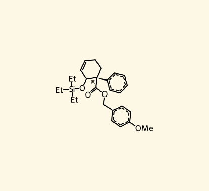 CC[Si](CC)(CC)OC1C=CCC[C@@]1(C(=O)OCc1ccc(OC)cc1)c1ccccc1